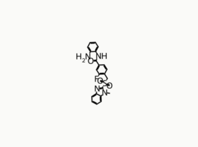 Cn1c(S(=O)(=O)Cc2ccc(C(=O)Nc3ccccc3N)cc2F)nc2ccccc21